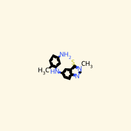 Cc1ccc(N)cc1Nc1ccc2ncn(C)c(=S)c2c1